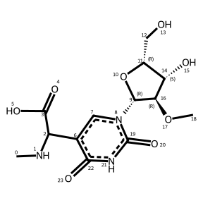 CNC(C(=O)O)c1cn([C@@H]2O[C@H](CO)[C@H](O)[C@H]2OC)c(=O)[nH]c1=O